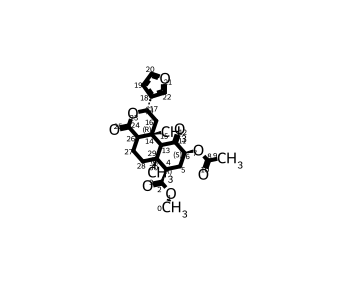 COC(=O)[C@@H]1C[C@H](OC(C)=O)C(=O)C2[C@@]3(C)C[C@@H](c4ccoc4)OC(=O)C3CC[C@]21C